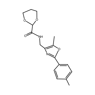 Cc1ccc(-c2nc(CNC(=O)C3OCCCO3)c(C)o2)cc1